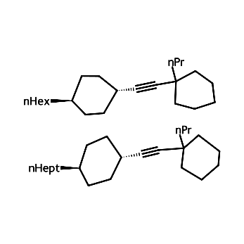 CCCCCCC[C@H]1CC[C@H](C#CC2(CCC)CCCCC2)CC1.CCCCCC[C@H]1CC[C@H](C#CC2(CCC)CCCCC2)CC1